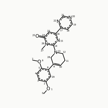 COc1ccc(OC)c(C2=CCCN(c3nc(-c4ccncn4)cc(=O)n3C)C2)c1